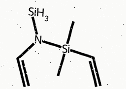 C=CN([SiH3])[Si](C)(C)C=C